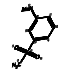 CNc1cccc(S(C)(=O)=O)c1